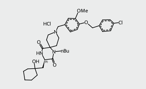 CCCCN1C(=O)[C@@H](CC2(O)CCCCC2)NC(=O)C12CCN(Cc1ccc(OCc3ccc(Cl)cc3)c(OC)c1)CC2.Cl